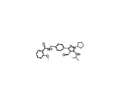 COc1ccccc1C(=O)NCc1ccc(-c2nn(C3CCCC3)c(NC(C)C)c2C=O)cc1